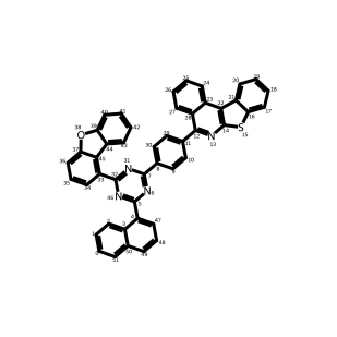 c1ccc2c(-c3nc(-c4ccc(-c5nc6sc7ccccc7c6c6ccccc56)cc4)nc(-c4cccc5oc6ccccc6c45)n3)cccc2c1